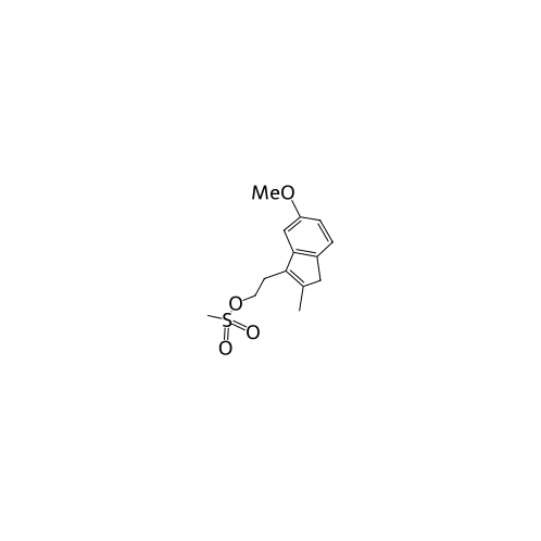 COc1ccc2c(c1)C(CCOS(C)(=O)=O)=C(C)C2